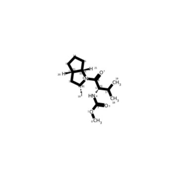 COC(=O)N[C@H](C(=O)N1[C@H](I)C[C@@H]2CCC[C@@H]21)C(C)C